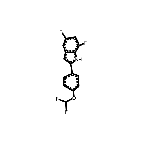 Fc1cc(F)c2[nH]c(-c3ccc(OC(F)F)cc3)cc2c1